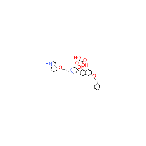 O=C(O)C(=O)O.OC1(c2ccc3cc(OCCc4ccccc4)ccc3c2)CCN(CCCOc2cccc3[nH]ccc23)CC1